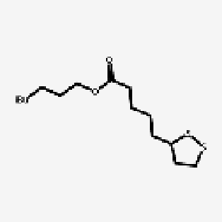 CCC(C)CCCOC(=O)CCCCC1CCSS1